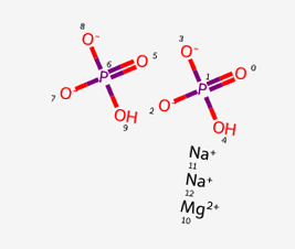 O=P([O-])([O-])O.O=P([O-])([O-])O.[Mg+2].[Na+].[Na+]